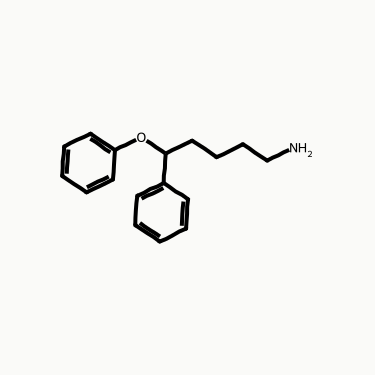 NCCCCC(Oc1ccccc1)c1ccccc1